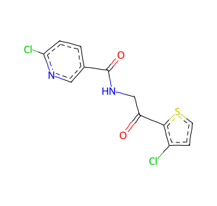 O=C(NCC(=O)c1sccc1Cl)c1ccc(Cl)nc1